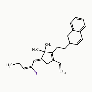 C=CC1=C(CCC2C=Cc3ccccc3C2)C(C)(C)/C(=C/C(I)=C\CC)C1